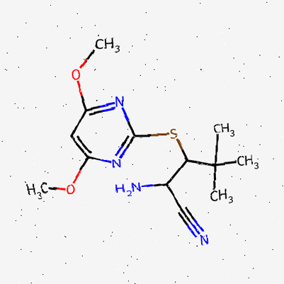 COc1cc(OC)nc(SC(C(N)C#N)C(C)(C)C)n1